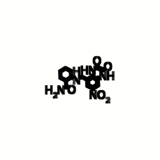 NC(=O)C1CCCCC1NCc1cc([N+](=O)[O-])cc2[nH]c(=O)c(=O)[nH]c12